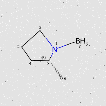 BN1CCC[C@H]1C